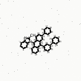 Cc1nc2ccccc2n1-c1c2ccccc2c(-c2cccc(-c3ccccc3)c2)c2cc(-c3ccccc3)ccc12